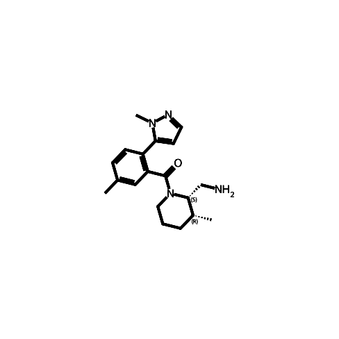 Cc1ccc(-c2ccnn2C)c(C(=O)N2CCC[C@@H](C)[C@H]2CN)c1